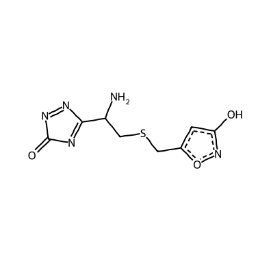 NC(CSCc1cc(O)no1)C1=NC(=O)N=N1